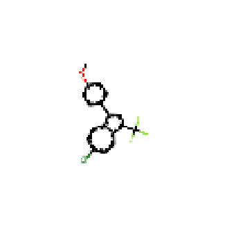 COc1ccc(-c2cc(C(F)(F)F)c3ccc(Cl)ccc2-3)cc1